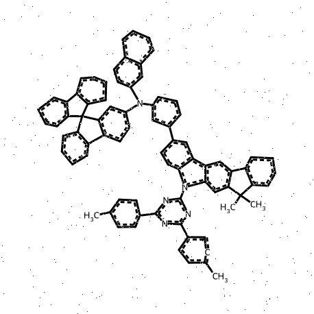 Cc1ccc(-c2nc(-c3ccc(C)cc3)nc(-n3c4ccc(-c5cccc(N(c6ccc7c(c6)C6(c8ccccc8-c8ccccc86)c6ccccc6-7)c6ccc7ccccc7c6)c5)cc4c4cc5c(cc43)C(C)(C)c3ccccc3-5)n2)cc1